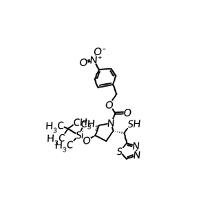 CC(C)(C)[Si](C)(C)O[C@@H]1C[C@@H](C(S)c2nncs2)N(C(=O)OCc2ccc([N+](=O)[O-])cc2)C1